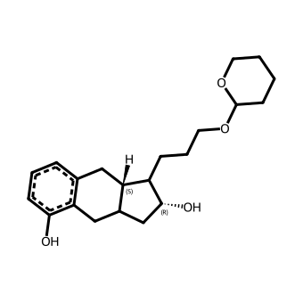 Oc1cccc2c1CC1C[C@@H](O)C(CCCOC3CCCCO3)[C@H]1C2